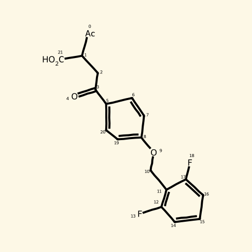 CC(=O)C(CC(=O)c1ccc(OCc2c(F)cccc2F)cc1)C(=O)O